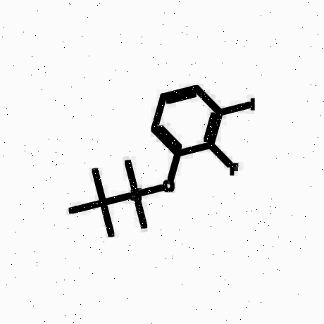 CC(C)(C)[Si](C)(C)Oc1cccc(I)c1F